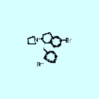 Brc1ccc2c(c1)CCC(=[N+]1CCCC1)[C@H]2Cc1ccccc1.[Br-]